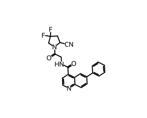 N#CC1CC(F)(F)CN1C(=O)CNC(=O)c1ccnc2ccc(-c3ccccc3)cc12